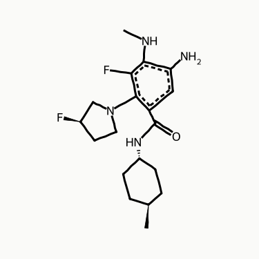 CNc1c(N)cc(C(=O)N[C@H]2CC[C@H](C)CC2)c(N2CC[C@@H](F)C2)c1F